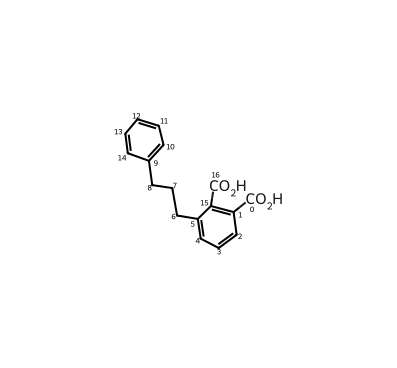 O=C(O)c1cccc(CCCc2ccccc2)c1C(=O)O